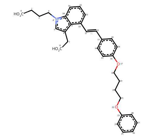 O=C(O)CCCn1cc(CC(=O)O)c2c(/C=C/c3ccc(OCCCCOc4ccccc4)cc3)cccc21